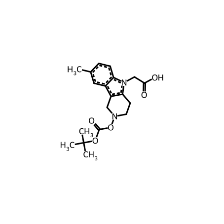 Cc1ccc2c(c1)c1c(n2CC(=O)O)CCN(OC(=O)OC(C)(C)C)C1